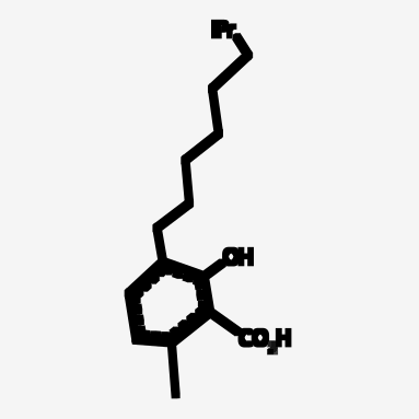 Cc1ccc(CCCCCCC(C)C)c(O)c1C(=O)O